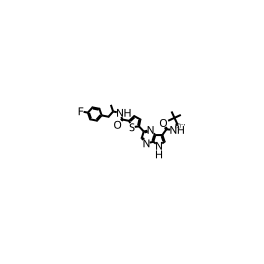 CC(Cc1ccc(F)cc1)NC(=O)c1ccc(-c2cnc3[nH]cc(C(=O)N[C@@H](C)C(C)(C)C)c3n2)s1